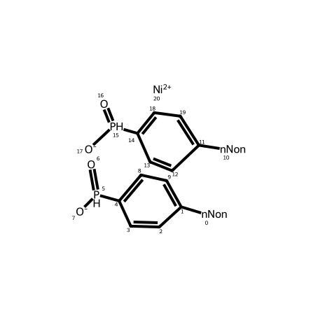 CCCCCCCCCc1ccc([PH](=O)[O-])cc1.CCCCCCCCCc1ccc([PH](=O)[O-])cc1.[Ni+2]